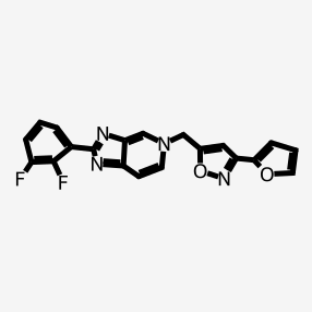 Fc1cccc(-c2nc3ccn(Cc4cc(-c5ccco5)no4)cc-3n2)c1F